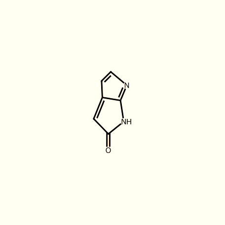 O=C1C=C2C=CN=C2N1